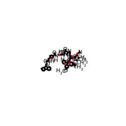 COc1ccc(C(OC[C@H]2OC(n3cnc4c(=O)[nH]c(NC(=O)CCNC(=O)c5ccc(CNC(=O)OCC6c7ccccc7-c7ccccc76)cc5)nc43)CC2OP(OCCC#N)N(C(C)C)C(C)C)(c2ccccc2)c2ccc(OC)cc2)cc1